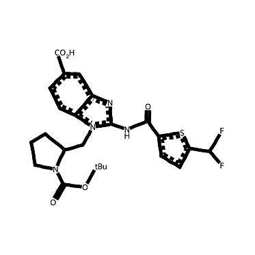 CC(C)(C)OC(=O)N1CCCC1Cn1c(NC(=O)c2ccc(C(F)F)s2)nc2cc(C(=O)O)ccc21